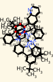 CC(C)(C)c1cc(-c2cccc(-c3cc(C(C)(C)C)cc(C(C)(C)C)c3)c2[N+]23c4ccccc4[N+]24c2cccc5c2[N+]2(c6c(ccc7c8ccccc8n(c67)-c6cc(C(C)(C)C)cc[n+]62)-c2cc6ncccc6cc2-5)C43)cc(C(C)(C)C)c1